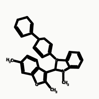 Cc1ccc2c(C3N(C)c4ccccc4N3C3=CCC(C4=CCCC=C4)C=C3)c(C)oc2c1